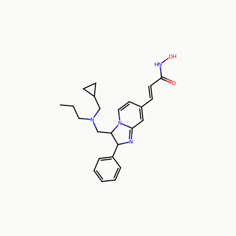 CCCN(CC1CC1)CC1C(c2ccccc2)N=C2C=C(/C=C/C(=O)NO)C=CN21